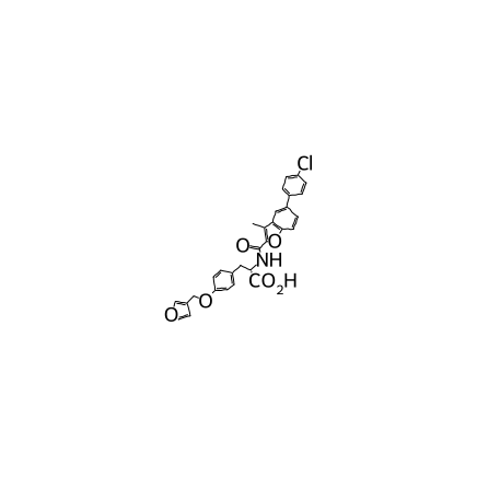 Cc1c(C(=O)N[C@@H](Cc2ccc(OCc3ccoc3)cc2)C(=O)O)oc2ccc(-c3ccc(Cl)cc3)cc12